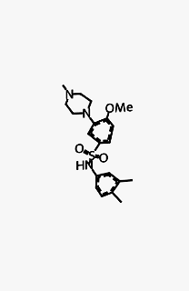 COc1ccc(S(=O)(=O)Nc2ccc(C)c(C)c2)cc1N1CCN(C)CC1